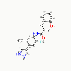 Cc1cc(NC(=O)C2COc3ccccc3C2)c(F)cc1-c1cn[nH]c1